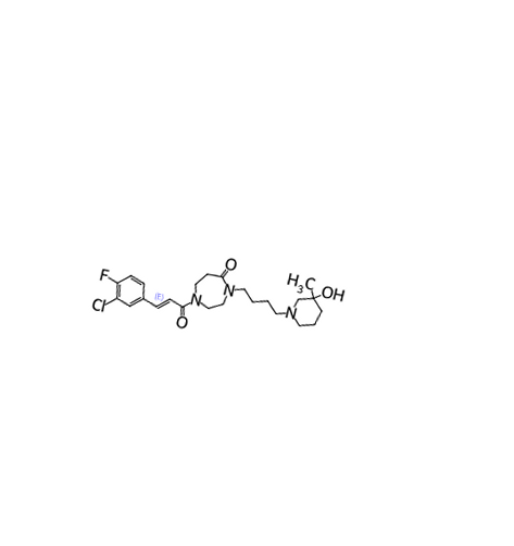 CC1(O)CCCN(CCCCN2CCN(C(=O)/C=C/c3ccc(F)c(Cl)c3)CCC2=O)C1